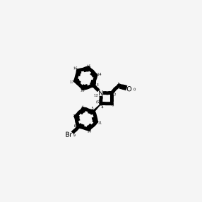 O=CC1C[C@@H](c2ccc(Br)cc2)N1c1ccccc1